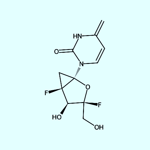 C=C1C=CN([C@@]23C[C@@]2(F)[C@H](O)[C@@](F)(CO)O3)C(=O)N1